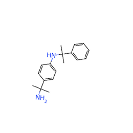 CC(C)(N)c1ccc(NC(C)(C)c2ccccc2)cc1